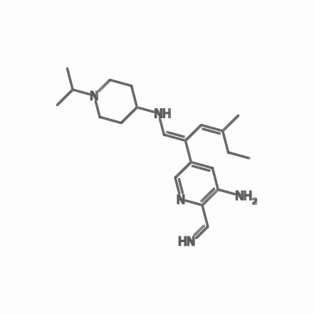 CC/C(C)=C\C(=C/NC1CCN(C(C)C)CC1)c1cnc(C=N)c(N)c1